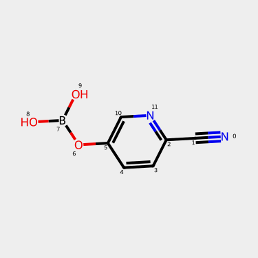 N#Cc1ccc(OB(O)O)cn1